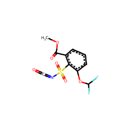 COC(=O)c1cccc(OC(F)F)c1S(=O)(=O)N=C=O